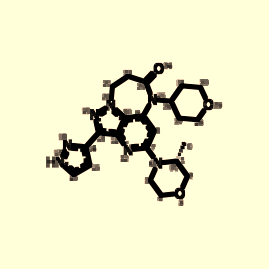 C[C@@H]1COCCN1c1cc2c3c(n1)c(-c1cc[nH]n1)nn3CCC(=O)N2C1CCOCC1